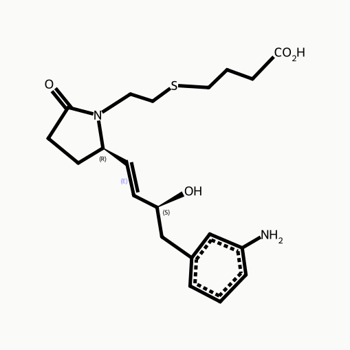 Nc1cccc(C[C@H](O)/C=C/[C@H]2CCC(=O)N2CCSCCCC(=O)O)c1